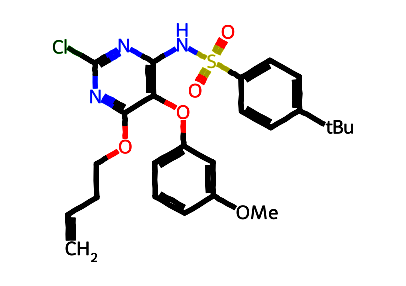 C=CCCOc1nc(Cl)nc(NS(=O)(=O)c2ccc(C(C)(C)C)cc2)c1Oc1cccc(OC)c1